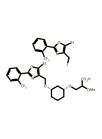 CCc1oc(-c2ccccc2C(F)(F)F)nc1CI.CCc1oc(-c2ccccc2C(F)(F)F)nc1CO[C@H]1CCC[C@@H](OCC(OC)C(=O)O)C1